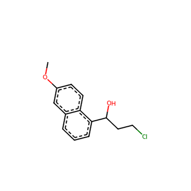 COc1ccc2c(C(O)CCCl)cccc2c1